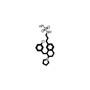 CCCS(=O)(=O)NCCCc1ccc2c(c1)C(Cc1cccc(Cl)c1)C(N1CCCC1)CC2